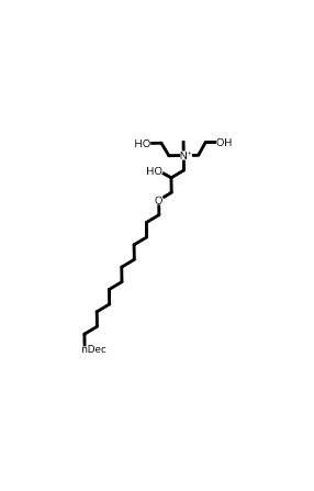 CCCCCCCCCCCCCCCCCCCCCCOCC(O)C[N+](C)(CCO)CCO